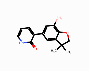 Bc1cc(-c2ccc[nH]c2=O)cc2c1OCC2(C)C